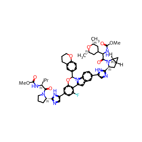 COC(=O)NC(C(=O)N1[C@@H]2C[C@@H]2C[C@H]1c1ncc(-c2ccc3c(c2)cc2n3C(c3ccc4c(c3)CCCO4)Oc3cc(-c4cnc([C@@H]5CCCN5C(=O)[C@@H](NC(=O)OC)C(C)C)[nH]4)cc(F)c3-2)[nH]1)C1C[C@@H](C)O[C@@H](C)C1